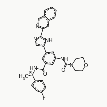 C[C@@H](NC(=O)c1cc(NC(=O)N2CCOCC2)cc(-c2cnc(-c3cc4ccccc4cn3)[nH]2)c1)c1ccc(F)cc1